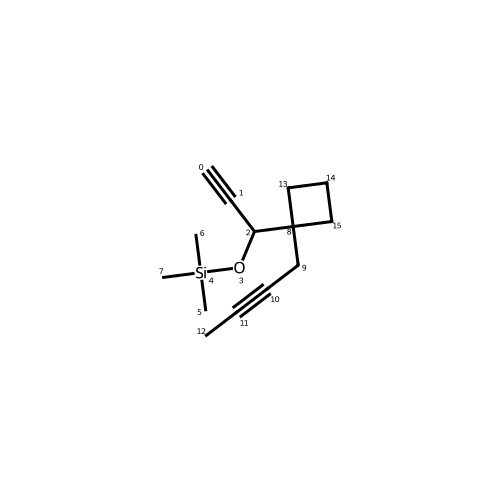 C#CC(O[Si](C)(C)C)C1(CC#CC)CCC1